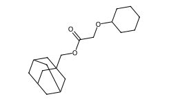 O=C(COC1CCCCC1)OCC12CC3CC(CC(C3)C1)C2